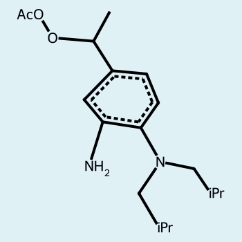 CC(=O)OOC(C)c1ccc(N(CC(C)C)CC(C)C)c(N)c1